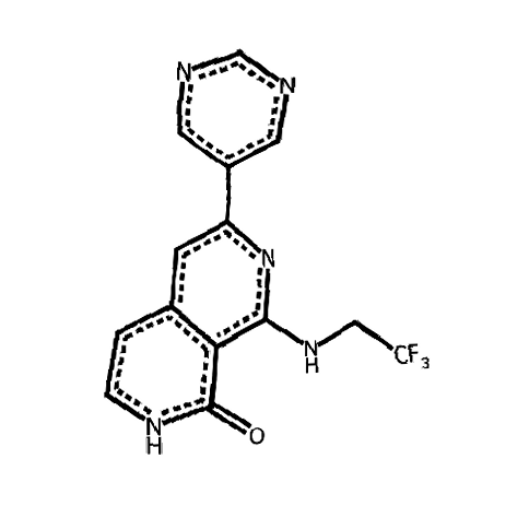 O=c1[nH]ccc2cc(-c3cncnc3)nc(NCC(F)(F)F)c12